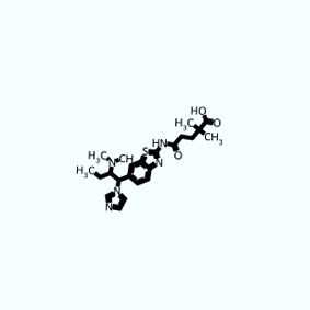 CCC(C(c1ccc2nc(NC(=O)CCC(C)(C)C(=O)O)sc2c1)n1ccnc1)N(C)C